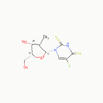 CC1[C@@H](O)[C@@H](CO)O[C@H]1n1cc(F)c(=S)[nH]c1=S